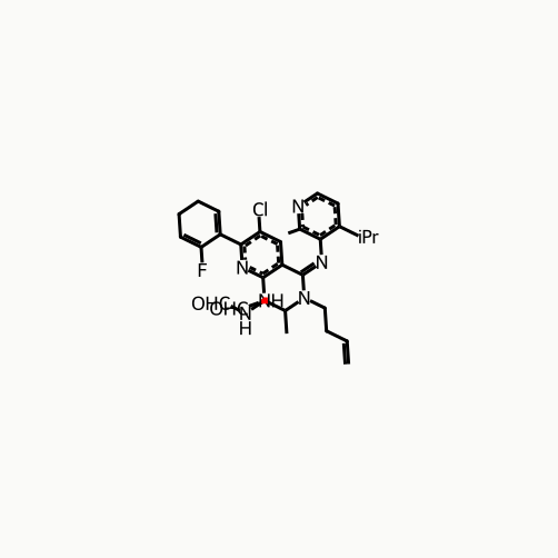 C=CCCN(/C(=N/c1c(C(C)C)ccnc1C)c1cc(Cl)c(C2=CCCC=C2F)nc1NC=O)C(C)CNC=O